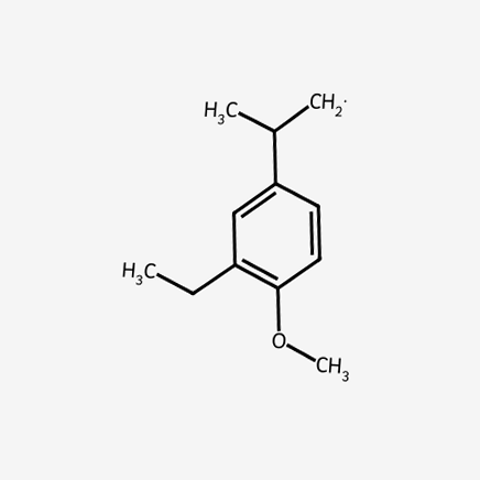 [CH2]C(C)c1ccc(OC)c(CC)c1